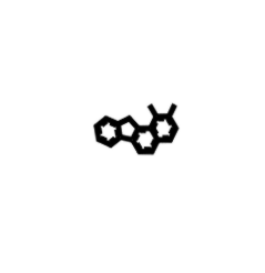 Cc1ccc2ccc3c(c2c1C)Cc1ccccc1-3